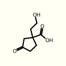 O=C1CCC(CCO)(C(=O)O)C1